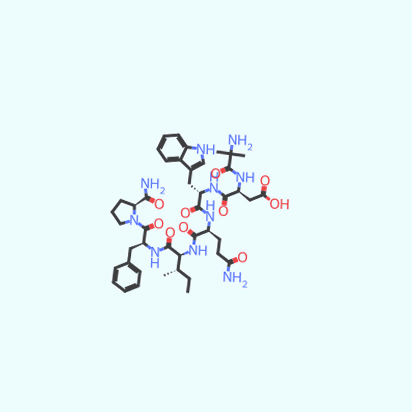 CC[C@H](C)[C@H](NC(=O)[C@H](CCC(N)=O)NC(=O)[C@H](Cc1c[nH]c2ccccc12)NC(=O)[C@H](CC(=O)O)NC(=O)C(C)(C)N)C(=O)N[C@@H](Cc1ccccc1)C(=O)N1CCC[C@H]1C(N)=O